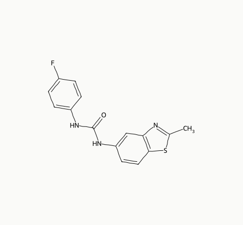 Cc1nc2cc(NC(=O)Nc3ccc(F)cc3)ccc2s1